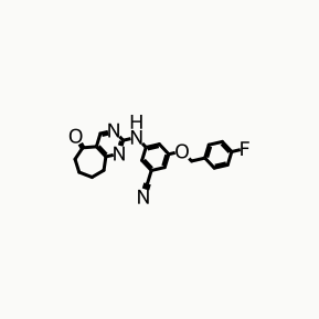 N#Cc1cc(Nc2ncc3c(n2)CCCCC3=O)cc(OCc2ccc(F)cc2)c1